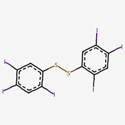 Ic1cc(I)c(SSc2cc(I)c(I)cc2I)cc1I